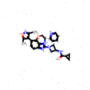 Cc1noc(C)c1-c1ccc2nc(N3CC(NC(=O)C4CC4)C3)n3c2c1OC[C@@H]3c1ccccn1